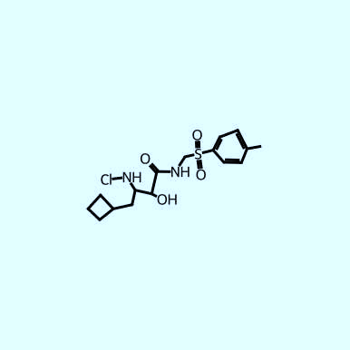 Cc1ccc(S(=O)(=O)CNC(=O)C(O)C(CC2CCC2)NCl)cc1